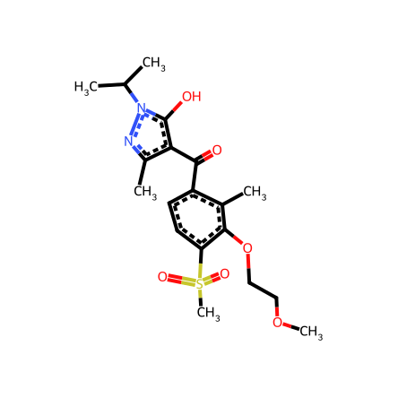 COCCOc1c(S(C)(=O)=O)ccc(C(=O)c2c(C)nn(C(C)C)c2O)c1C